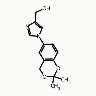 CC1(C)OCc2cc(-n3cnc(CO)c3)ccc2O1